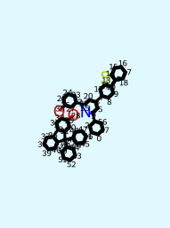 c1ccc(-c2cc(-c3ccc4c(c3)sc3ccccc34)cc(-c3cccc4c3Oc3cc5c(cc3O4)-c3ccccc3C5(c3ccccc3)c3ccccc3)n2)cc1